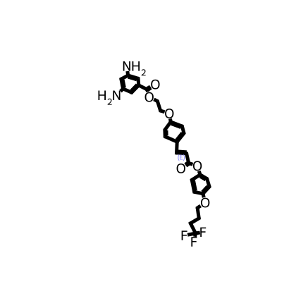 Nc1cc(N)cc(C(=O)OCCOc2ccc(/C=C/C(=O)Oc3ccc(OCCCC(F)(F)F)cc3)cc2)c1